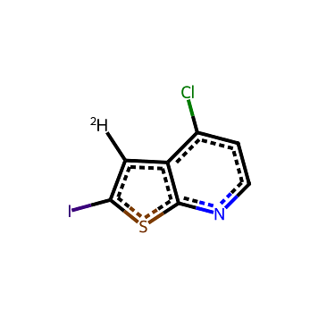 [2H]c1c(I)sc2nccc(Cl)c12